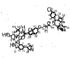 Cc1ncsc1-c1ccc([C@H](C)NC(=O)[C@@H]2C[C@@H](O)CN2C(=O)[C@@H](NC(=O)c2cc3ccc(OCCNC(=O)C[C@@H]4N=C(c5ccc(Cl)cc5)c5c(sc(C)c5C)-n5c(C)nnc54)cc3o2)C(C)(C)C)cc1